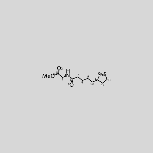 COC(=O)CNC(=O)CCCCC1CCSS1